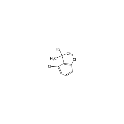 CC(C)(S)c1c(Cl)cccc1Cl